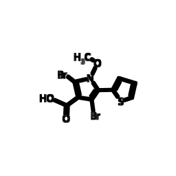 COn1c(Br)c(C(=O)O)c(Br)c1-c1cccs1